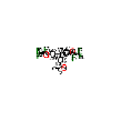 C=C(C)C(=O)c1ccc(C(C)(c2ccc(OC(F)=C(F)F)cc2)c2ccc(OC(F)=C(F)F)cc2)cc1